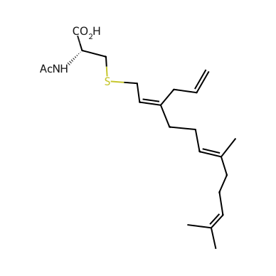 C=CC/C(=C\CSC[C@H](NC(C)=O)C(=O)O)CC/C=C(\C)CCC=C(C)C